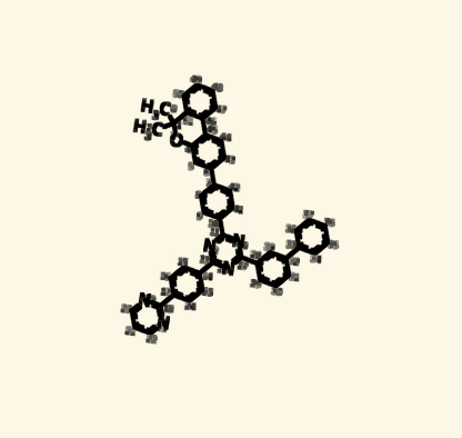 CC1(C)Oc2cc(-c3ccc(-c4nc(-c5ccc(-c6ncccn6)cc5)nc(-c5cccc(-c6ccccc6)c5)n4)cc3)ccc2-c2ccccc21